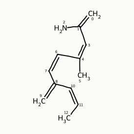 C=C(N)/C=C(C)\C=C/C(=C)/C=C\C